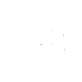 CN1[C@@H]2C[C@@H](OC(=O)[C@H](CO)c3ccccc3)C[C@H]1[C@@H]1O[C@@H]12.O